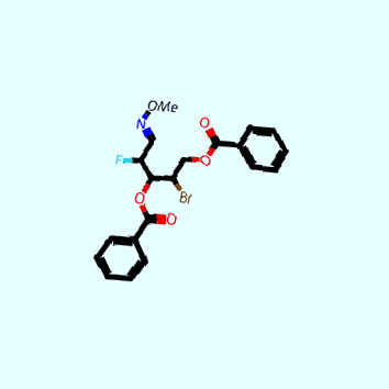 CON=CC(F)C(OC(=O)c1ccccc1)C(Br)COC(=O)c1ccccc1